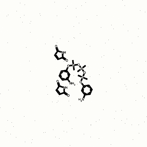 C[Si](C)(Oc1cccc(N)c1)O[Si](C)(C)O[Si](C)(C)Oc1cccc(N)c1.O=C1C=CC(=O)N1.O=C1C=CC(=O)N1